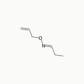 C=CCON=CCC